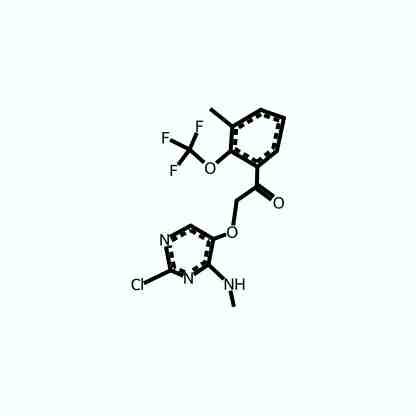 CNc1nc(Cl)ncc1OCC(=O)c1cccc(C)c1OC(F)(F)F